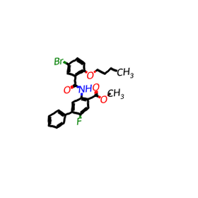 CCCCOc1ccc(Br)cc1C(=O)Nc1cc(-c2ccccc2)c(F)cc1C(=O)OC